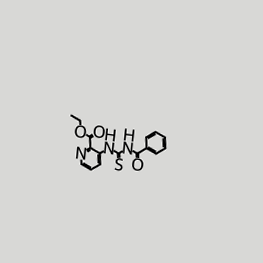 CCOC(=O)c1ncccc1NC(=S)NC(=O)c1ccccc1